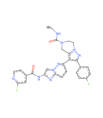 CC(C)(C)NC(=O)N1CCn2nc(-c3ccc(F)cc3)c(-c3ccc4nc(NC(=O)c5ccnc(F)c5)cn4n3)c2C1